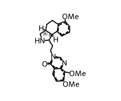 COc1cccc2c1CC[C@H]1CNC(CCn3cnc4c(OC)c(OC)ccc4c3=O)[C@@H]21